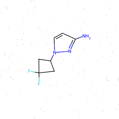 Nc1ccn(C2CC(F)(F)C2)n1